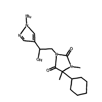 CN1C(=O)N(CC(O)c2cnn(C(C)(C)C)c2)C(=O)C1(C)C1CCCCC1